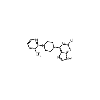 FC(F)(F)c1cccnc1N1CCN(c2nc(Cl)nc3[nH]cnc23)CC1